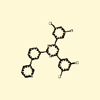 Clc1cc(Cl)cc(-c2cc(-c3cc(Cl)cc(Cl)c3)nc(-c3cccc(-c4cccnc4)c3)n2)c1